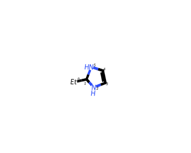 CCC1NC=CN1